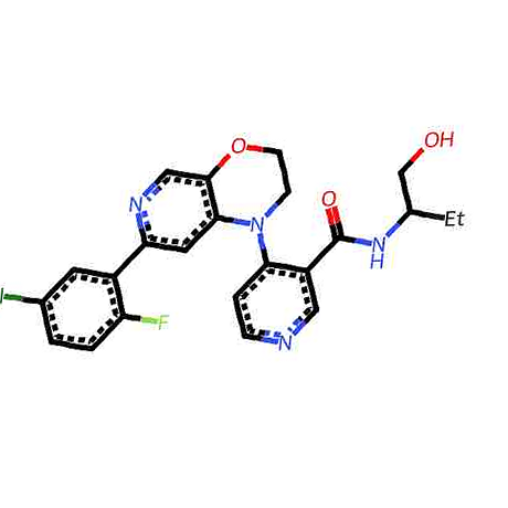 CCC(CO)NC(=O)c1cnccc1N1CCOc2cnc(-c3cc(Cl)ccc3F)cc21